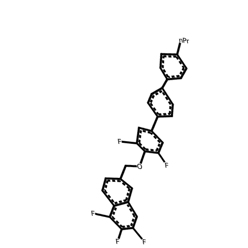 CCCc1ccc(-c2ccc(-c3cc(F)c(OCc4ccc5c(F)c(F)c(F)cc5c4)c(F)c3)cc2)cc1